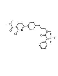 CN(C)C(=O)c1ccc(N2CCC(CCCN(C)C(=O)[C@H](c3ccccc3)C(F)(F)F)CC2)nc1Cl